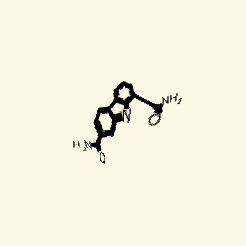 NC(=O)C1=CC=C2C(=Nc3c(C(N)=O)cccc32)C1